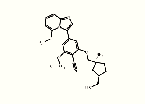 CC[C@@H]1CC[C@](N)(COc2cc(-c3cnc4cccc(OC)n34)cc(OC)c2C#N)C1.Cl